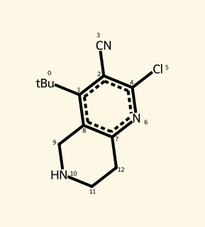 CC(C)(C)c1c(C#N)c(Cl)nc2c1CNCC2